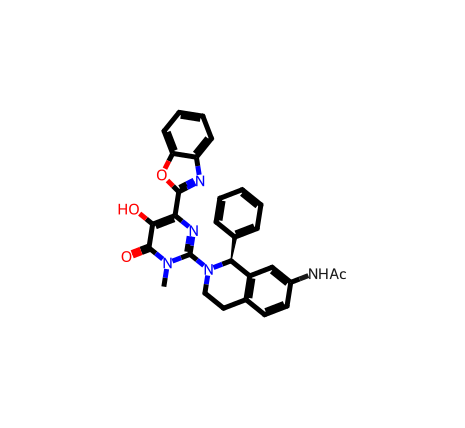 CC(=O)Nc1ccc2c(c1)[C@H](c1ccccc1)N(c1nc(-c3nc4ccccc4o3)c(O)c(=O)n1C)CC2